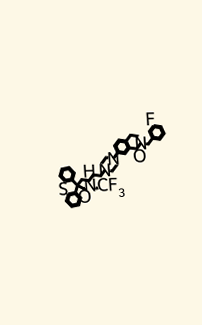 O=C1c2cc(N3CCN(CCCCC4(C(=O)NCC(F)(F)F)c5ccccc5Sc5ccccc54)CC3)ccc2CCN1Cc1cccc(F)c1